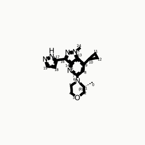 C[C@@H]1COCCN1c1cc(C2CC2)c2c(n1)c(-c1ccn[nH]1)nn2C